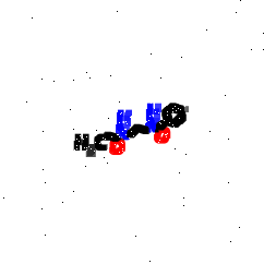 C=CC(=O)NCCCNC(=O)c1cc[c]cc1